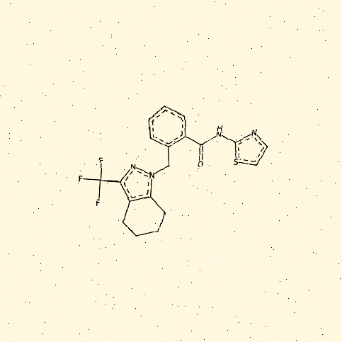 O=C(Nc1nccs1)c1ccccc1Cn1nc(C(F)(F)F)c2c1CCCC2